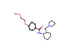 CCOCCOc1ccc(C(=O)N[C@@H]2CCCC[C@@H]2CN2CCCC2)cc1